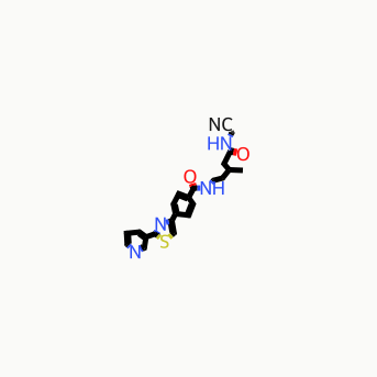 CC(CCNC(=O)c1ccc(-c2csc(-c3cccnc3)n2)cc1)CC(=O)NCC#N